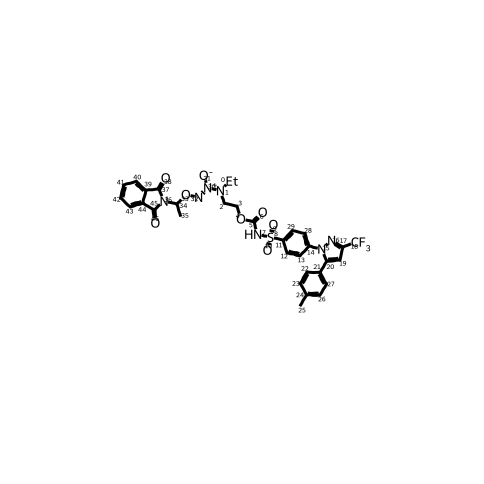 CCN(CCOC(=O)NS(=O)(=O)c1ccc(-n2nc(C(F)(F)F)cc2-c2ccc(C)cc2)cc1)[N+]([O-])=NOC(C)N1C(=O)c2ccccc2C1=O